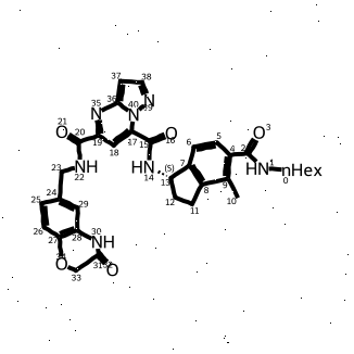 CCCCCCNC(=O)c1ccc2c(c1C)CC[C@@H]2NC(=O)c1cc(C(=O)NCc2ccc3c(c2)NC(=O)CO3)nc2ccnn12